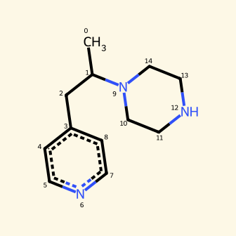 CC(Cc1[c]cncc1)N1CCNCC1